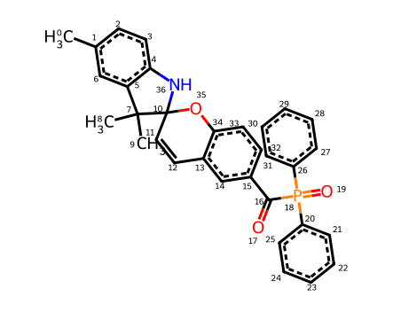 Cc1ccc2c(c1)C(C)(C)C1(C=Cc3cc(C(=O)P(=O)(c4ccccc4)c4ccccc4)ccc3O1)N2